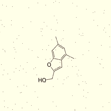 Cc1cc(C)c2cc(CO)oc2c1